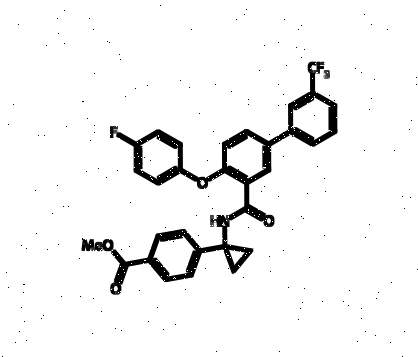 COC(=O)c1ccc(C2(NC(=O)c3cc(-c4cccc(C(F)(F)F)c4)ccc3Oc3ccc(F)cc3)CC2)cc1